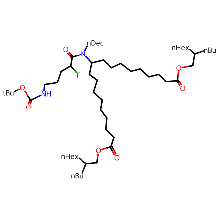 CCCCCCCCCCN(C(=O)C(F)CCCNC(=O)OC(C)(C)C)C(CCCCCCCCC(=O)OCC(CCCC)CCCCCC)CCCCCCCCC(=O)OCC(CCCC)CCCCCC